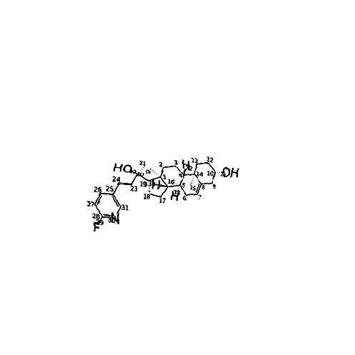 C[C@]12CC[C@H]3[C@@H](CC=C4C[C@@H](O)CC[C@@]43C)[C@@H]1CC[C@@H]2[C@](C)(O)CCc1ccc(F)nc1